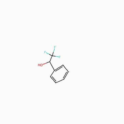 OC(c1c[c]ccc1)C(F)(F)F